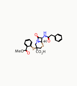 COC(=O)c1ccccc1SC1(C(=O)O)CS[C@@H]2[C@H](NC(=O)Cc3ccccc3)C(=O)N2C1